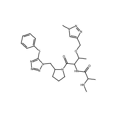 CNC(C)C(=O)NC(C(=O)N1CCCC1Cn1nnnc1Sc1ccccc1)C(C)OCc1cn(C)nn1